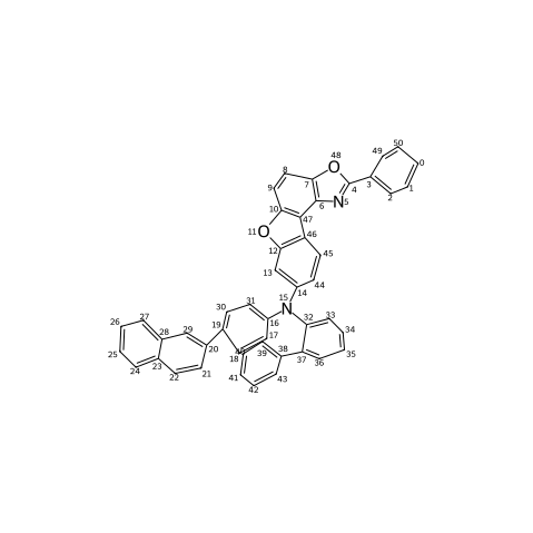 c1ccc(-c2nc3c(ccc4oc5cc(N(c6ccc(-c7ccc8ccccc8c7)cc6)c6ccccc6-c6ccccc6)ccc5c43)o2)cc1